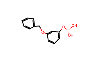 OB(O)Oc1cccc(OCc2ccccc2)c1